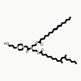 CCCCC/C=C/C=C/CCCCCCC(=O)OCCN(CCOC(=O)CCCCCCCC(C)CC(C)CCCCC)C(=O)CN1CCN(CCCO)CC1